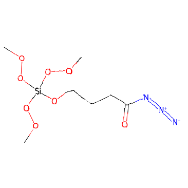 COO[Si](OCCCC(=O)N=[N+]=[N-])(OOC)OOC